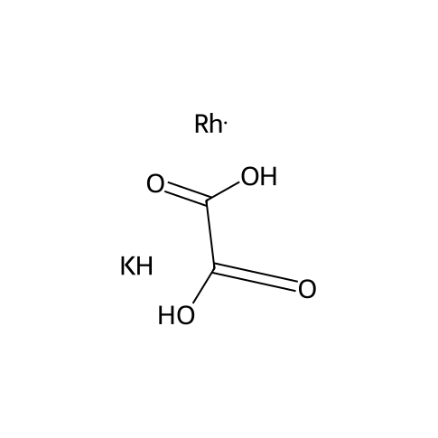 O=C(O)C(=O)O.[KH].[Rh]